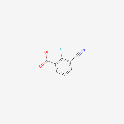 N#Cc1cccc(C(=O)O)c1F